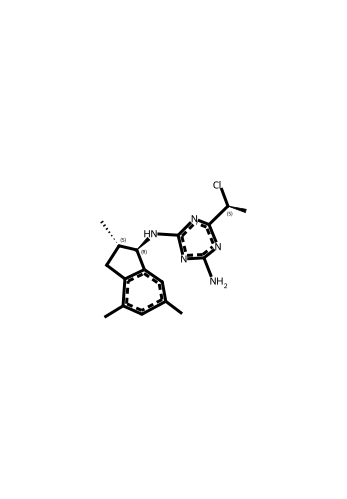 Cc1cc(C)c2c(c1)[C@H](Nc1nc(N)nc([C@H](C)Cl)n1)[C@@H](C)C2